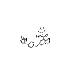 Cn1ccc(-c2ccc(Cc3cc(C(=O)NC4CCOCC4)c4nccn4c3)cc2)n1